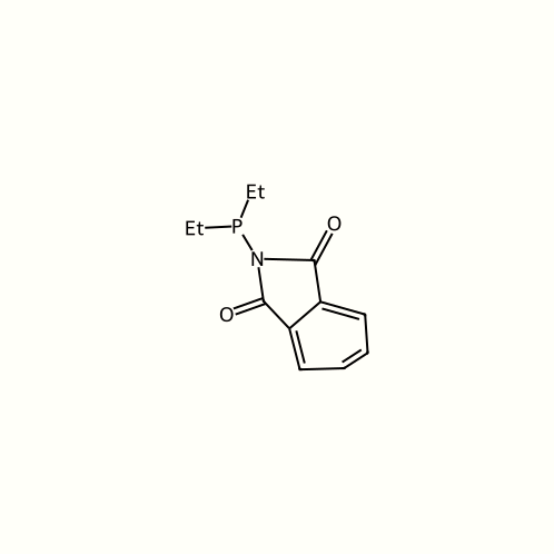 CCP(CC)N1C(=O)c2ccccc2C1=O